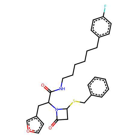 O=C(NCCCCCCc1ccc(F)cc1)C(Cc1ccoc1)N1C(=O)CC1SCc1ccccc1